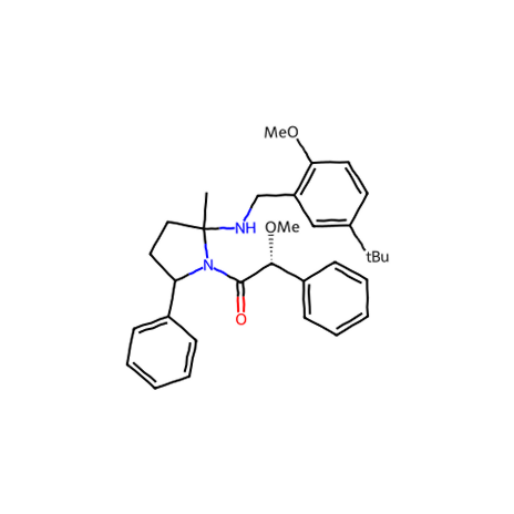 COc1ccc(C(C)(C)C)cc1CNC1(C)CCC(c2ccccc2)N1C(=O)[C@H](OC)c1ccccc1